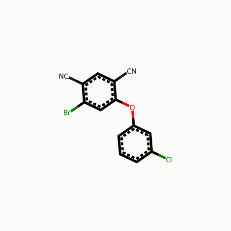 N#Cc1cc(C#N)c(Oc2cccc(Cl)c2)cc1Br